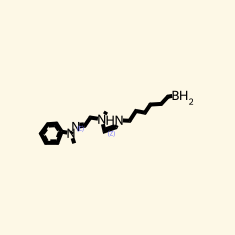 BCCCCCCN/C=C\N(C)C/C=N/N(C)c1ccccc1